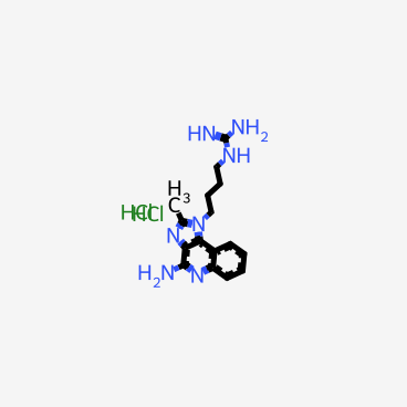 Cc1nc2c(N)nc3ccccc3c2n1CCCCNC(=N)N.Cl.Cl